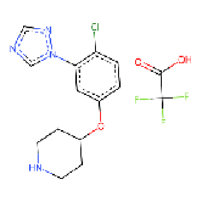 Clc1ccc(OC2CCNCC2)cc1-n1cncn1.O=C(O)C(F)(F)F